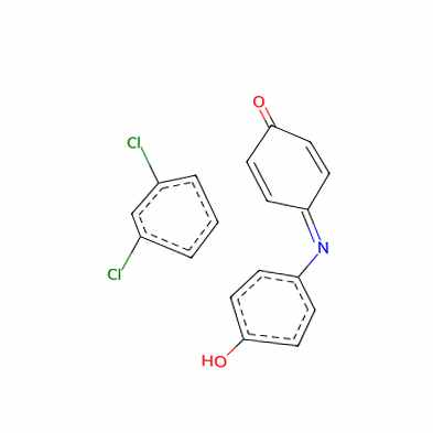 Clc1cccc(Cl)c1.O=C1C=CC(=Nc2ccc(O)cc2)C=C1